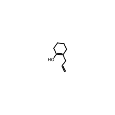 C=CCC1=C(O)CCCC1